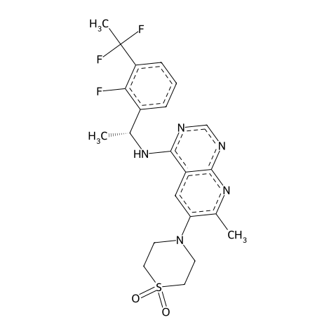 Cc1nc2ncnc(N[C@H](C)c3cccc(C(C)(F)F)c3F)c2cc1N1CCS(=O)(=O)CC1